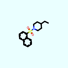 CCC1CCN(S(=O)(=O)c2cccc3ccccc23)CC1